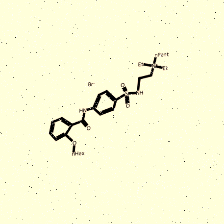 CCCCCCOc1ccccc1C(=O)Nc1ccc(S(=O)(=O)NCC[N+](CC)(CC)CCCCC)cc1.[Br-]